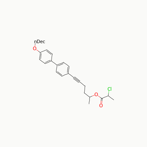 CCCCCCCCCCOc1ccc(-c2ccc(C#CCCC(C)OC(=O)C(C)Cl)cc2)cc1